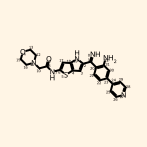 N=C(c1cc2sc(NC(=O)CN3CCOCC3)cc2[nH]1)c1ccc(-c2ccncc2)cc1N